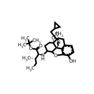 CC[C@H](C)[C@H](NC1CC[C@@]2(OC)[C@H]3Cc4ccc(O)c5c4[C@@]2(CCN3CC2CC2)C1O5)C(=O)OC(C)(C)C